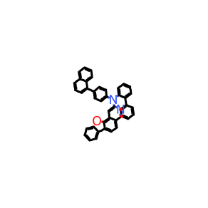 c1ccc(-c2ccccc2N(c2ccc(-c3cccc4ccccc34)cc2)c2cc3c(ccc4c5ccccc5oc34)cn2)cc1